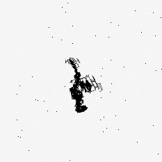 CC(C)(C)OC(=O)NC(Cc1ccc(OCc2ccccc2)cn1)C(=O)Oc1ccc(CCCC(=O)NO)cc1